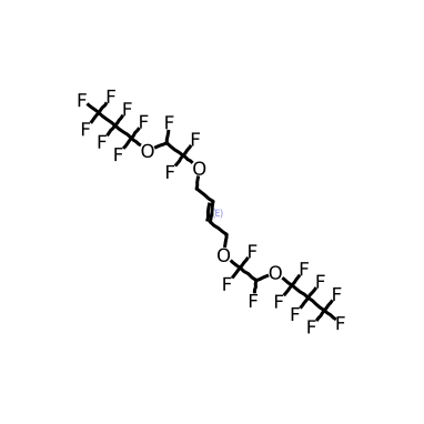 FC(OC(F)(F)C(F)(F)C(F)(F)F)C(F)(F)OC/C=C/COC(F)(F)C(F)OC(F)(F)C(F)(F)C(F)(F)F